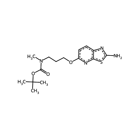 CN(CCCOc1ccc2nc(N)sc2n1)C(=O)OC(C)(C)C